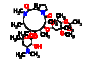 CO[C@]1(C)C[C@H](O[C@H]2[C@H](C)[C@@H](O[C@@H]3O[C@H](C)C[C@H](N(C)C)[C@H]3O)[C@](C)(O)C[C@@H](C)CN(C)C(=O)C[C@@H]3CCCN3C(=O)[C@@H]2C)O[C@@H](C)[C@@H]1OC(C)=O